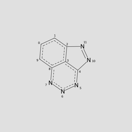 c1cc2c3c(nnnc3c1)N=N2